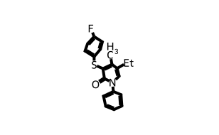 CCc1cn(-c2ccccc2)c(=O)c(Sc2ccc(F)cc2)c1C